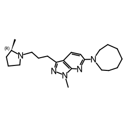 C[C@@H]1CCCN1CCCc1nn(C)c2nc(N3CCCCCCC3)ccc12